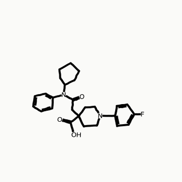 O=C(CC1(C(=O)O)CCN(c2ccc(F)cc2)CC1)N(c1ccccc1)C1CCCCC1